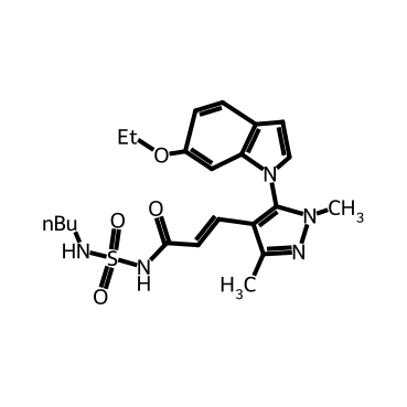 CCCCNS(=O)(=O)NC(=O)C=Cc1c(C)nn(C)c1-n1ccc2ccc(OCC)cc21